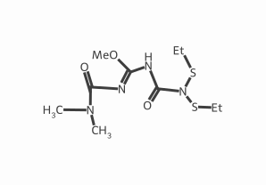 CCSN(SCC)C(=O)NC(=NC(=O)N(C)C)OC